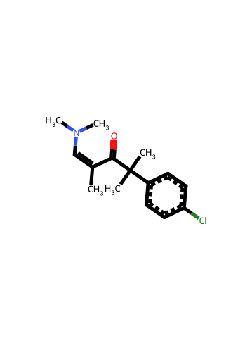 C/C(=C/N(C)C)C(=O)C(C)(C)c1ccc(Cl)cc1